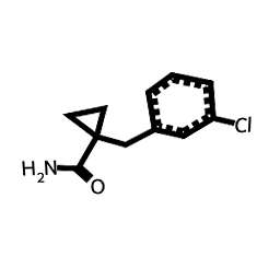 NC(=O)C1(Cc2cccc(Cl)c2)CC1